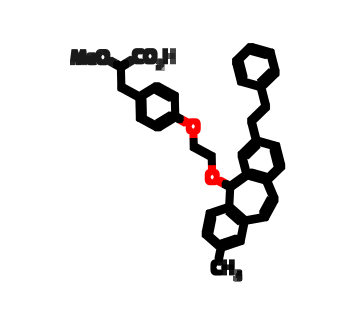 COC(Cc1ccc(OCCOC2c3ccc(C)cc3C=Cc3ccc(CCc4ccccc4)cc32)cc1)C(=O)O